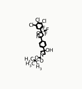 CC(C)(C)OC(=O)N1CC(O)(c2ccc(C3=NO[C@](c4cc(Cl)c(Cl)c(Cl)c4)(C(F)(F)F)C3)cc2)C1